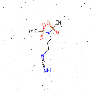 CS(=O)(=O)N(CCCN=C=N)S(C)(=O)=O